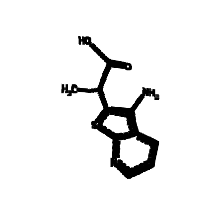 CC(C(=O)O)c1sc2ncccc2c1N